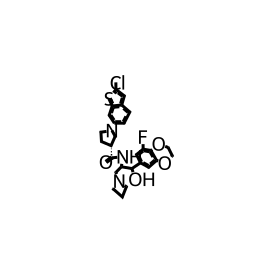 O=C(NC(CN1CCC1)C(O)c1cc(F)c2c(c1)OCCO2)[C@@H]1CCN(c2ccc3cc(Cl)sc3c2)C1